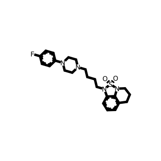 O=S1(=O)N(CCCCN2CCN(c3ccc(F)cc3)CC2)c2cccc3c2N1CCC3